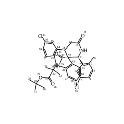 Cc1ccc(F)cc1[C@@H]1NC(=O)C[C@H](c2cc(Cl)ccc2OC(C)(C)C(=O)OC(C)(C)C)[C@@]12C(=O)Nc1cc(Cl)ccc12